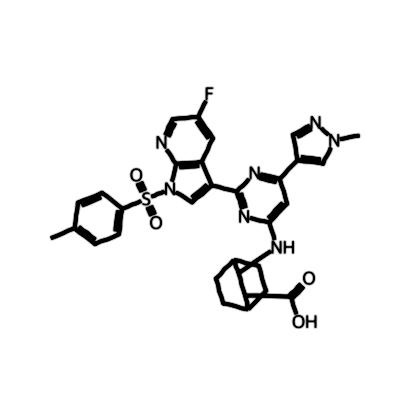 Cc1ccc(S(=O)(=O)n2cc(-c3nc(NC4C5CCC(CC5)C4C(=O)O)cc(-c4cnn(C)c4)n3)c3cc(F)cnc32)cc1